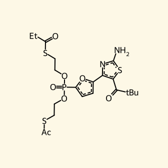 CCC(=O)SCCOP(=O)(OCCSC(C)=O)c1ccc(-c2nc(N)sc2C(=O)C(C)(C)C)o1